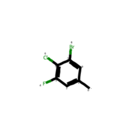 [CH2]c1cc(F)c(Cl)c(Br)c1